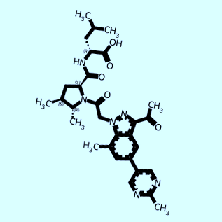 CC(=O)c1nn(CC(=O)N2[C@H](C)[C@@H](C)C[C@H]2C(=O)N[C@H](CC(C)C)C(=O)O)c2c(C)cc(-c3cnc(C)nc3)cc12